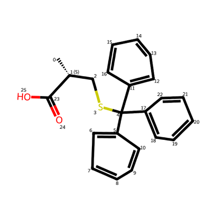 C[C@H](CSC(c1ccccc1)(c1ccccc1)c1ccccc1)C(=O)O